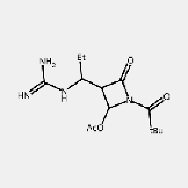 CCC(NC(=N)N)C1C(=O)N(C(=O)C(C)(C)C)C1OC(C)=O